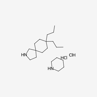 C1CCNCC1.CCCC1(CCC)CCC2(CCNC2)CC1.Cl.Cl